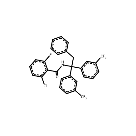 O=C(NC(Cc1ccccc1)(c1cccc(C(F)(F)F)c1)c1cccc(C(F)(F)F)c1)c1c(F)cccc1Cl